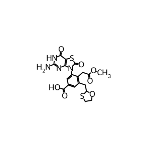 COC(=O)Cc1c(CC2OCCS2)cc(C(=O)O)cc1-n1c(=O)sc2c(=O)[nH]c(N)nc21